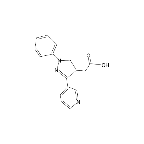 O=C(O)CC1CN(c2ccccc2)N=C1c1cccnc1